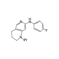 CC(C)N1CCCc2cnc(Nc3ccc(F)cc3)cc21